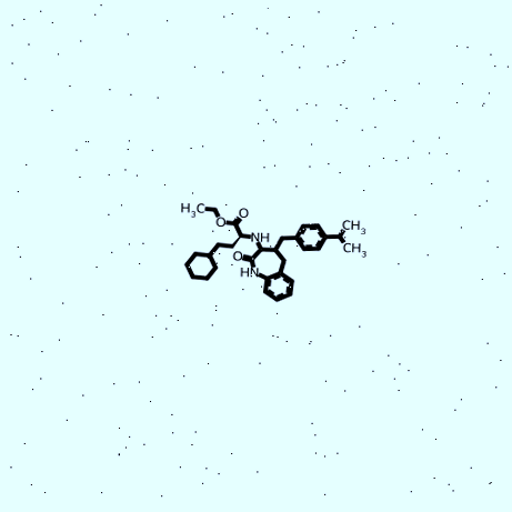 CCOC(=O)[C@H](CCC1CCCCC1)NC1C(=O)Nc2ccccc2CC1Cc1ccc(C(C)C)cc1